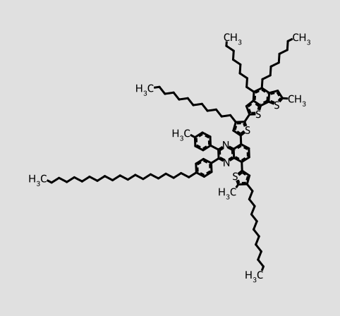 CCCCCCCCCCCCCCCCCCCCc1ccc(-c2nc3c(-c4cc(CCCCCCCCCCCC)c(C)s4)ccc(-c4cc(CCCCCCCCCCCC)c(-c5cc6c(CCCCCCCC)c(CCCCCCCC)c7cc(C)sc7c6s5)s4)c3nc2-c2ccc(C)cc2)cc1